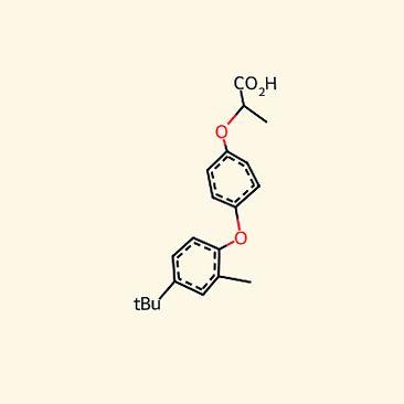 Cc1cc(C(C)(C)C)ccc1Oc1ccc(OC(C)C(=O)O)cc1